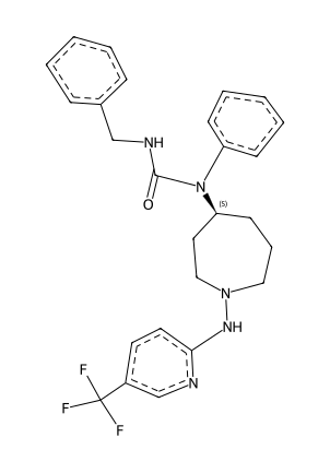 O=C(NCc1ccccc1)N(c1ccccc1)[C@H]1CCCN(Nc2ccc(C(F)(F)F)cn2)CC1